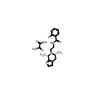 C[C@@H]1Cc2ccsc2[C@H](C)N1CCNC(=O)c1ccccc1F.O=C(O)C(=O)O